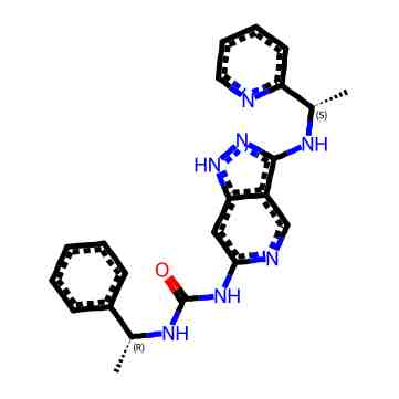 C[C@H](Nc1n[nH]c2cc(NC(=O)N[C@H](C)c3ccccc3)ncc12)c1ccccn1